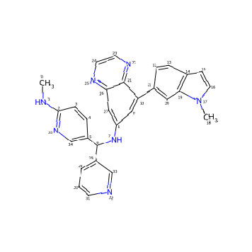 CNc1ccc(C(Nc2cc(-c3ccc4ccn(C)c4c3)c3nccnc3c2)c2cccnc2)cn1